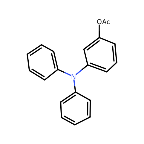 CC(=O)Oc1cccc(N(c2ccccc2)c2ccccc2)c1